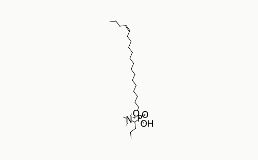 CCC/C=C\CCCCCCCCCCCCCCOP(=O)(O)C(CCC)[N+](C)(C)C